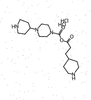 Cl.Cl.O=C(CCC1CCNCC1)OC(=O)N1CCN(C2CCNCC2)CC1